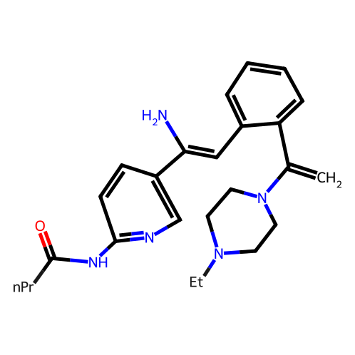 C=C(c1ccccc1/C=C(\N)c1ccc(NC(=O)CCC)nc1)N1CCN(CC)CC1